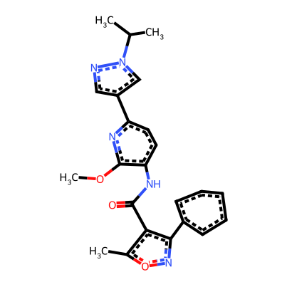 COc1nc(-c2cnn(C(C)C)c2)ccc1NC(=O)c1c(-c2ccccc2)noc1C